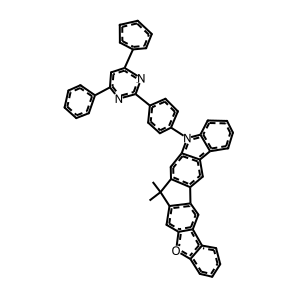 CC1(C)c2cc3oc4ccccc4c3cc2-c2cc3c4ccccc4n(-c4ccc(-c5nc(-c6ccccc6)cc(-c6ccccc6)n5)cc4)c3cc21